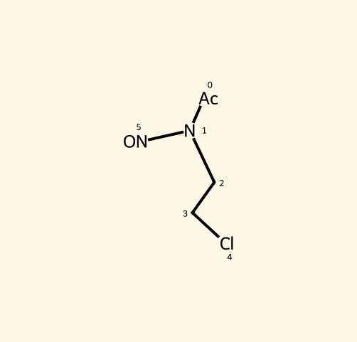 CC(=O)N(CCCl)N=O